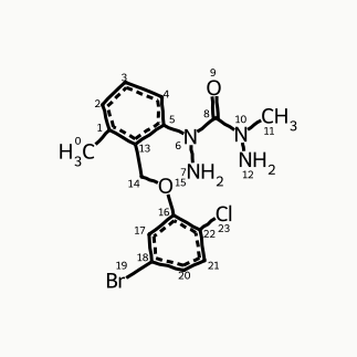 Cc1cccc(N(N)C(=O)N(C)N)c1COc1cc(Br)ccc1Cl